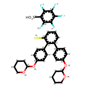 O=S(=O)(O)c1c(F)c(F)c(F)c(F)c1F.Sc1cccc(-c2ccc(OC3CCCCO3)cc2)c1-c1ccc(OC2CCCCO2)cc1